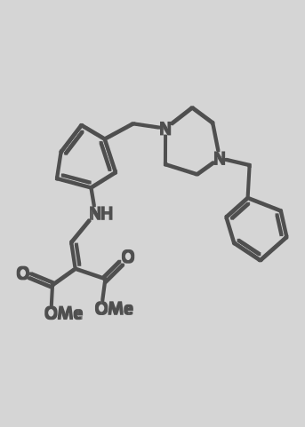 COC(=O)C(=CNc1cccc(CN2CCN(Cc3ccccc3)CC2)c1)C(=O)OC